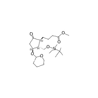 COC(=O)CCC[C@@H]1C(=O)C[C@H](OC2CCCCO2)[C@H]1CO[Si](C)(C)C(C)(C)C